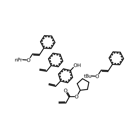 C=CC(=O)OC1CCCC1.C=Cc1ccc(O)cc1.C=Cc1ccccc1.CC(C)(C)OC=Cc1ccccc1.CCCOC=Cc1ccccc1